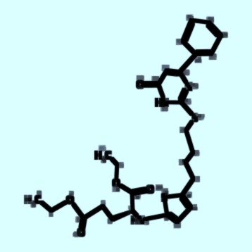 CCOC(=O)CC[C@H](Nc1ccc(CCCCSc2nc(-c3ccccc3)cc(=O)[nH]2)s1)C(=O)OCC